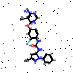 CC(C)(C)c1cc(NC(=O)Nc2ccc(Oc3ncnc(N)c3C#N)cc2F)n(-c2ccccc2)n1